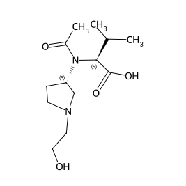 CC(=O)N([C@H]1CCN(CCO)C1)[C@H](C(=O)O)C(C)C